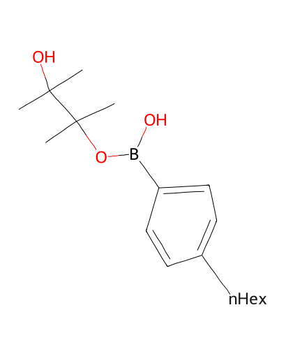 CCCCCCc1ccc(B(O)OC(C)(C)C(C)(C)O)cc1